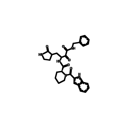 O=C(NCc1ccccc1)C(=O)C(CC1CCNC1=O)NC(=O)[C@@H]1CCCCN1C(=O)c1cc2ccccc2[nH]1